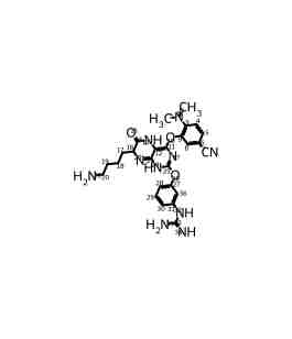 CN(C)c1ccc(C#N)cc1OC1=C2NC(=O)C(CCCCN)N=C2NC(Oc2cccc(NC(=N)N)c2)=N1